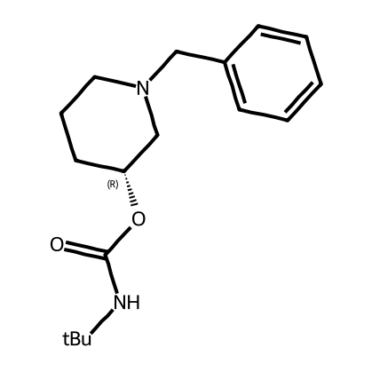 CC(C)(C)NC(=O)O[C@@H]1CCCN(Cc2ccccc2)C1